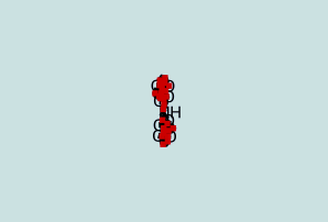 O=C1c2ccccc2C(=O)c2c1cc1c3c(cccc23)C(=O)N(CCCCNCCCN2C(=O)c3cccc4c5c(cc(c34)C2=O)C(=O)c2ccccc2C5=O)C1=O